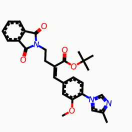 COc1cc(C=C(CCN2C(=O)c3ccccc3C2=O)C(=O)OC(C)(C)C)ccc1-n1cnc(C)c1